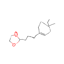 CC1(C)CC=C(CCCC2OCCO2)CC1